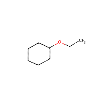 FC(F)(F)CO[C]1CCCCC1